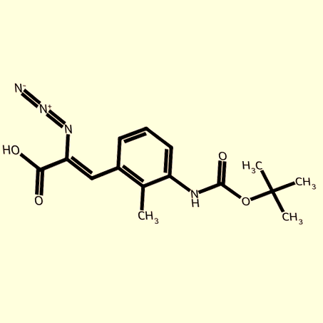 Cc1c(C=C(N=[N+]=[N-])C(=O)O)cccc1NC(=O)OC(C)(C)C